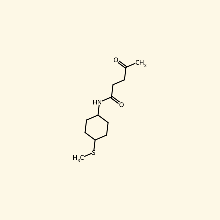 CSC1CCC(NC(=O)CCC(C)=O)CC1